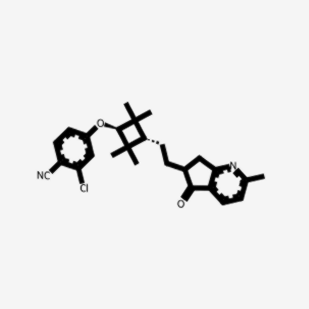 Cc1ccc2c(n1)CC(CC[C@H]1C(C)(C)[C@H](Oc3ccc(C#N)c(Cl)c3)C1(C)C)C2=O